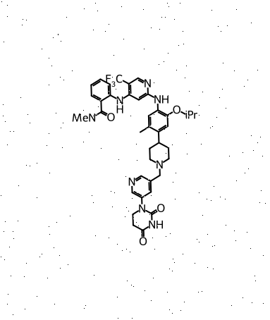 CNC(=O)c1ccccc1Nc1cc(Nc2cc(C)c(C3CCN(Cc4cncc(N5CCC(=O)NC5=O)c4)CC3)cc2OC(C)C)ncc1C(F)(F)F